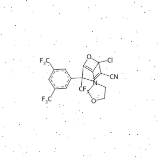 N#CC1=CC(c2cc(C(F)(F)F)cc(C(F)(F)F)c2)(C(F)(F)F)C2=C(N3CCOC3)C1(Cl)O2